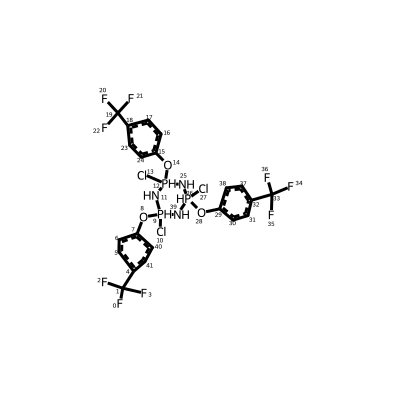 FC(F)(F)c1ccc(O[PH]2(Cl)N[PH](Cl)(Oc3ccc(C(F)(F)F)cc3)N[PH](Cl)(Oc3ccc(C(F)(F)F)cc3)N2)cc1